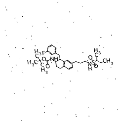 CCC(C)S(=O)(=O)NCCCc1ccc2c(c1)C(Cc1cccc(F)c1)C(NC(=O)OC(C)(C)C)CC2